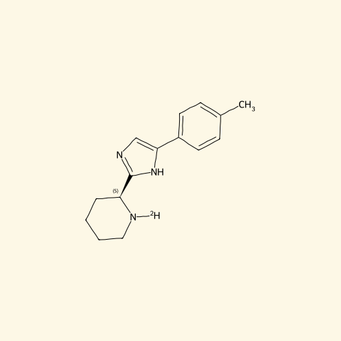 [2H]N1CCCC[C@H]1c1ncc(-c2ccc(C)cc2)[nH]1